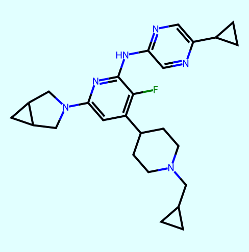 Fc1c(C2CCN(CC3CC3)CC2)cc(N2CC3CC3C2)nc1Nc1cnc(C2CC2)cn1